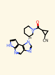 N#CC1CC1C(=O)N1CCC[C@@H](n2cnc3cnc4[nH]ccc4c32)C1